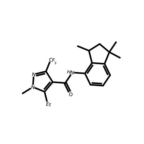 CCc1c(C(=O)Nc2cccc3c2C(C)CC3(C)C)c(C(F)(F)F)nn1C